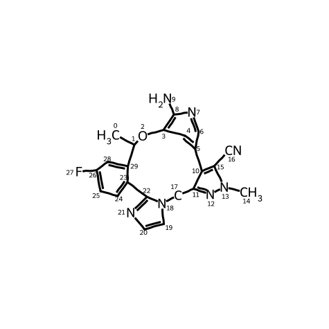 CC1Oc2cc(cnc2N)-c2c(nn(C)c2C#N)Cn2ccnc2-c2ccc(F)cc21